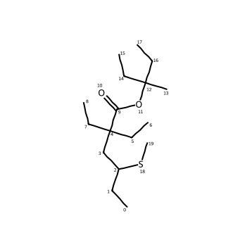 CCC(CC(CC)(CC)C(=O)OC(C)(CC)CC)SC